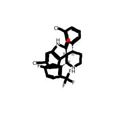 O=C1Nc2cc(Cl)ccc2[C@]12[C@@H](c1cc(F)ccc1C(F)(F)F)NCC[C@H]2c1cccc(Cl)c1